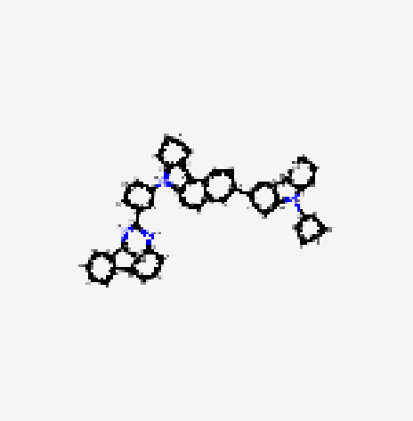 c1ccc(-n2c3ccccc3c3cc(-c4ccc5c(ccc6c5c5ccccc5n6-c5cccc(-c6nc7c8c(cccc8n6)-c6ccccc6-7)c5)c4)ccc32)cc1